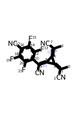 CC(C#N)=C1C(=C(\C)C#N)/C1=C(/C#N)c1c(F)c(F)c(C#N)c(F)c1F